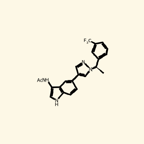 CC(=O)Nc1c[nH]c2ccc(-c3cnn([C@H](C)c4cccc(C(F)(F)F)c4)c3)cc12